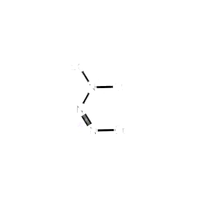 CC/N=N\N(CC)CC